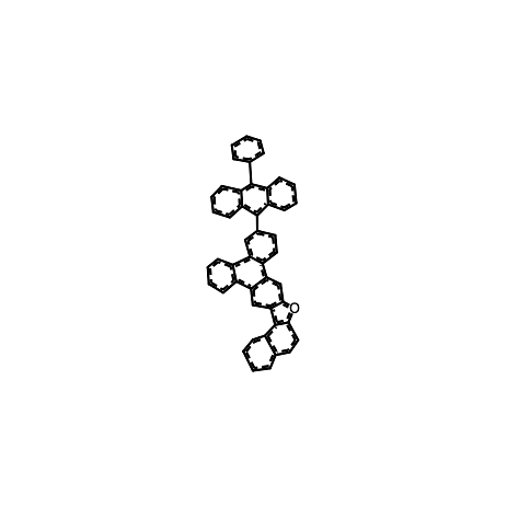 c1ccc(-c2c3ccccc3c(-c3ccc4c(c3)c3ccccc3c3cc5c(cc43)oc3ccc4ccccc4c35)c3ccccc23)cc1